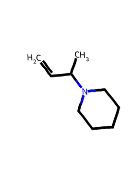 C=CC(C)N1CCCCC1